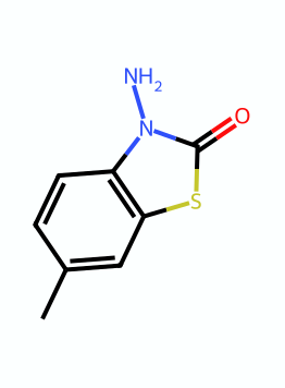 Cc1ccc2c(c1)sc(=O)n2N